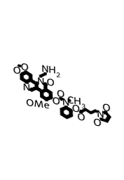 COc1cc2c(cc1OC(=O)N(C)c1ccccc1OC(=O)CCCN1C(=O)C=CC1=O)c(=O)n(CCN)c1c3cc4c(cc3ncc21)OCO4